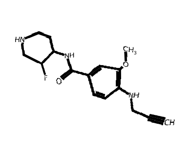 C#CCNc1ccc(C(=O)NC2CCNCC2F)cc1OC